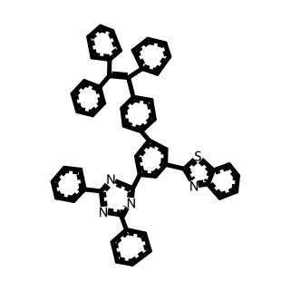 c1ccc(C(=C(c2ccccc2)c2ccc(-c3cc(-c4nc(-c5ccccc5)nc(-c5ccccc5)n4)cc(-c4nc5ccccc5s4)c3)cc2)c2ccccc2)cc1